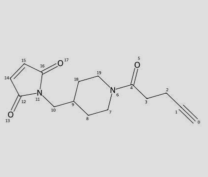 C#CCCC(=O)N1CCC(CN2C(=O)C=CC2=O)CC1